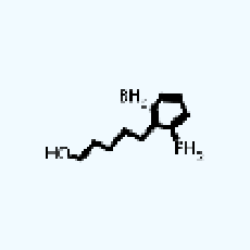 B.OCCCCCc1ccccc1P